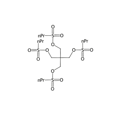 CCCS(=O)(=O)OCC(COS(=O)(=O)CCC)(COS(=O)(=O)CCC)COS(=O)(=O)CCC